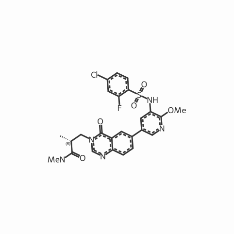 CNC(=O)[C@H](C)Cn1cnc2ccc(-c3cnc(OC)c(NS(=O)(=O)c4ccc(Cl)cc4F)c3)cc2c1=O